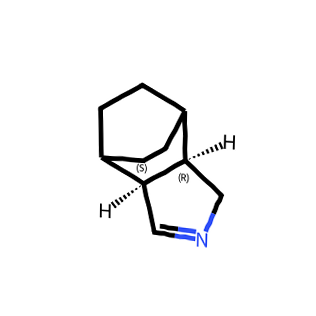 C1=NC[C@@H]2C3CCC(CC3)[C@H]12